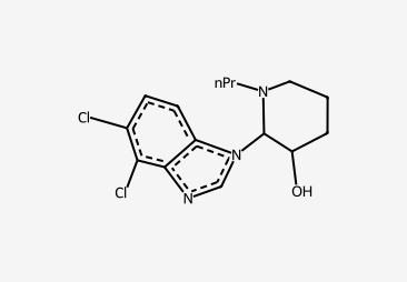 CCCN1CCCC(O)C1n1cnc2c(Cl)c(Cl)ccc21